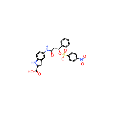 O=C(C[C@@H](OS(=O)(=O)c1ccc([N+](=O)[O-])cc1)c1ccccc1)Nc1ccc2[nH]c(C(=O)O)cc2c1